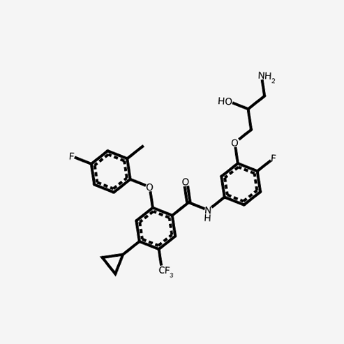 Cc1cc(F)ccc1Oc1cc(C2CC2)c(C(F)(F)F)cc1C(=O)Nc1ccc(F)c(OCC(O)CN)c1